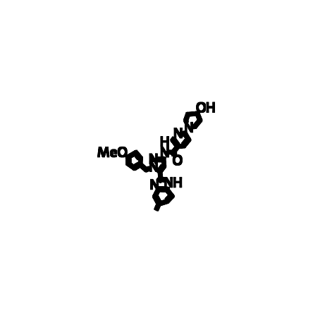 COc1ccc(Cn2nc(NC(=O)c3ccc(N4CCC(O)CC4)nc3)cc2-c2nc3cc(C)ccc3[nH]2)cc1